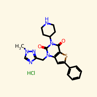 Cl.Cn1cnc(Cn2c(=O)n(C3CCNCC3)c(=O)c3sc(-c4ccccc4)cc32)n1